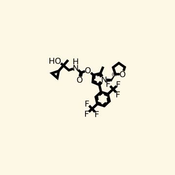 Cc1c(OC(=O)NCC(C)(O)C2CC2)cc(-c2cc(C(F)(F)F)ccc2C(F)(F)F)n1C[C@H]1CCCO1